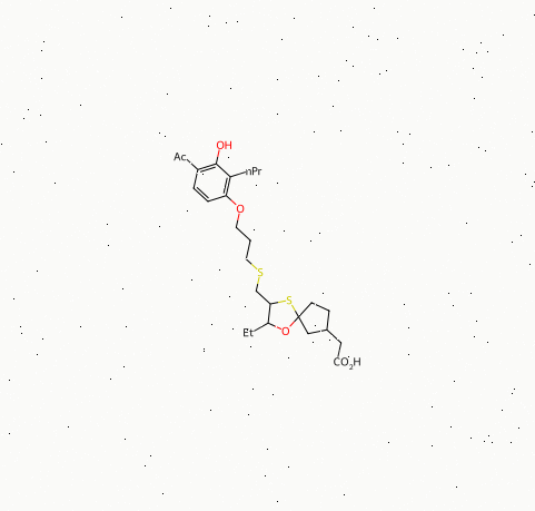 CCCc1c(OCCCSCC2SC3(CCC(CC(=O)O)C3)OC2CC)ccc(C(C)=O)c1O